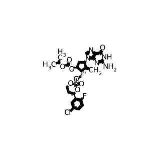 C=C1C(n2cnc3c(=O)[nH]c(N)nc32)C[C@H](OC(=O)OC(C)C)[C@H]1CO[P@]1(=O)OCC[C@H](c2cc(Cl)ccc2F)O1